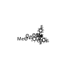 COC(=O)COc1cccc(C2SC(c3ccc(F)cc3)=NN2C(=O)c2c(F)cc(F)cc2F)c1OC